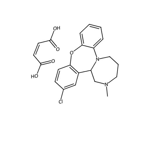 CN1CCCN2c3ccccc3Oc3ccc(Cl)cc3C2C1.O=C(O)/C=C\C(=O)O